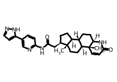 C[C@]12C=CC(=O)N[C@@H]1CC[C@@H]1[C@@H]2CC[C@]2(C)[C@@H](CC(=O)Nc3ccc(-c4ccn[nH]4)cn3)CC[C@@H]12